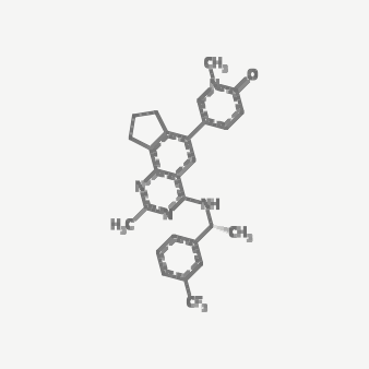 Cc1nc(N[C@H](C)c2cccc(C(F)(F)F)c2)c2cc(-c3ccc(=O)n(C)c3)c3c(c2n1)CCC3